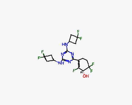 O[C@@H]1C(F)=C(c2nc(NC3CC(F)(F)C3)nc(NC3CC(F)(F)C3)n2)CCC1(F)F